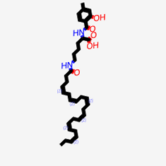 CC/C=C\C/C=C\C/C=C\C/C=C\C/C=C\C/C=C\CCC(=O)NCCCCC(NC(=O)c1ccc(C)cc1O)C(=O)O